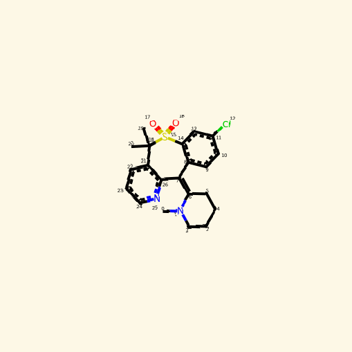 CN1CCCC/C1=C1\c2ccc(Cl)cc2S(=O)(=O)C(C)(C)c2cccnc21